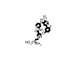 Cc1nnc(-c2cc(Cl)ccc2F)cc1Nc1ccnc(NC(=O)c2cnn(CCN(C)C(=O)O)c2)c1